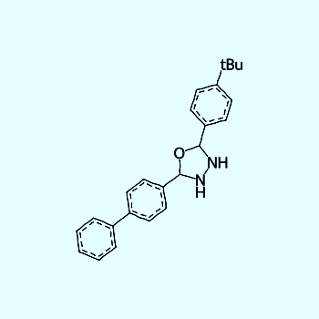 CC(C)(C)c1ccc(C2NNC(c3ccc(-c4ccccc4)cc3)O2)cc1